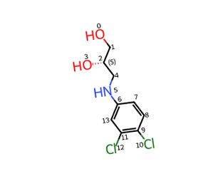 OC[C@@H](O)CNc1ccc(Cl)c(Cl)c1